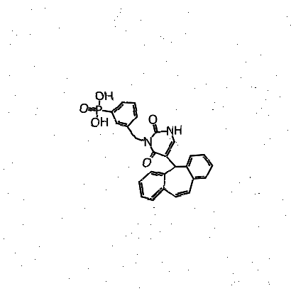 O=c1[nH]cc(C2c3ccccc3C=Cc3ccccc32)c(=O)n1Cc1cccc(P(=O)(O)O)c1